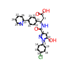 O=C(O)CC(NC(=O)c1cc(O)n(-c2ccc(Cl)cc2)n1)c1ccc(-c2ccccn2)cc1